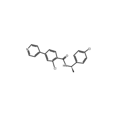 C[C@@H](NC(=O)c1ccc(-c2ccncc2)cc1Cl)c1ccc(Cl)cc1